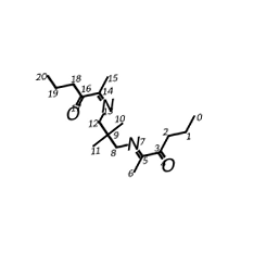 CCCC(=O)C(C)=NCC(C)(C)CN=C(C)C(=O)CCC